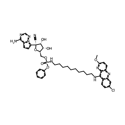 COc1ccc2nc3cc(Cl)ccc3c(NCCCCCCCCCCNP(=O)(OC[C@H]3O[C@@](C#N)(c4ccc5c(N)ncnn45)[C@H](O)[C@@H]3O)Oc3ccccc3)c2n1